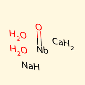 O.O.[CaH2].[NaH].[O]=[Nb]